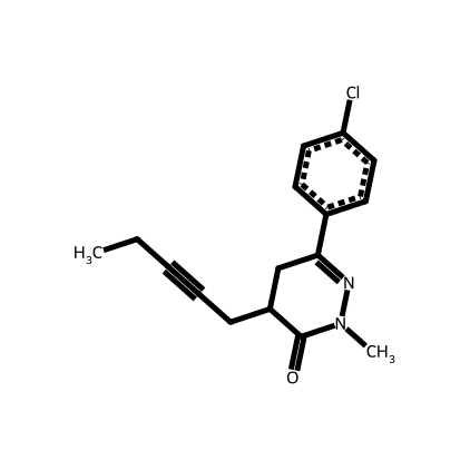 CCC#CCC1CC(c2ccc(Cl)cc2)=NN(C)C1=O